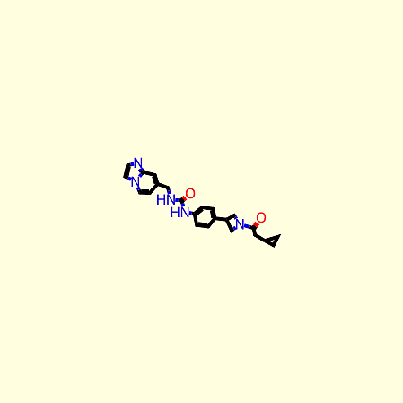 O=C(NCc1ccn2ccnc2c1)Nc1ccc(C2CN(C(=O)CC3CC3)C2)cc1